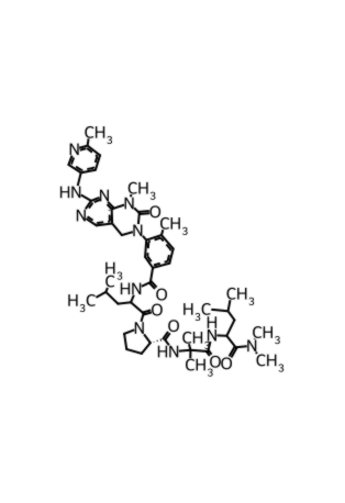 Cc1ccc(Nc2ncc3c(n2)N(C)C(=O)N(c2cc(C(=O)NC(CC(C)C)C(=O)N4CCC[C@H]4C(=O)NC(C)(C)C(=O)NC(CC(C)C)C(=O)N(C)C)ccc2C)C3)cn1